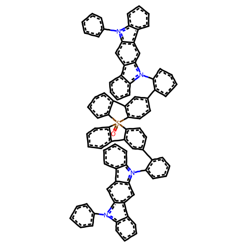 O=S12(c3ccccc3-c3cc(-c4ccccc4-n4c5ccccc5c5cc6c(cc54)c4ccccc4n6-c4ccccc4)ccc31)c1ccccc1-c1cc(-c3ccccc3-n3c4ccccc4c4cc5c(cc43)c3ccccc3n5-c3ccccc3)ccc12